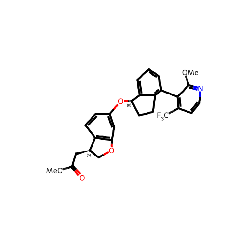 COC(=O)C[C@@H]1COc2cc(O[C@@H]3CCc4c(-c5c(C(F)(F)F)ccnc5OC)cccc43)ccc21